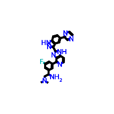 CN(C)CC(N)c1cc(F)cc(-c2nccc3[nH]c(-c4n[nH]c5ccc(-c6cnccn6)cc45)nc23)c1